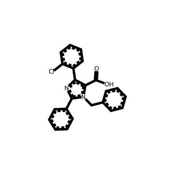 O=C(O)c1c(-c2ccccc2Cl)nc(-c2ccccc2)n1Cc1ccccc1